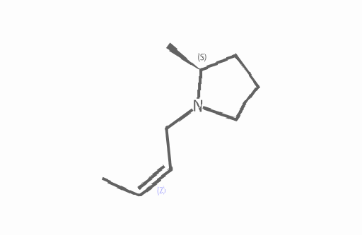 C/C=C\CN1CCC[C@@H]1C